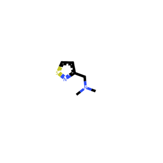 CN(C)Cc1ccsn1